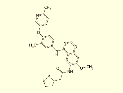 COc1cc2ncnc(Nc3ccc(Oc4ccc(C)nc4)c(C)c3)c2cc1NC(=O)CC1CCSS1